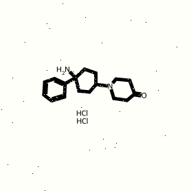 Cl.Cl.NC1(c2ccccc2)CCC(N2CCC(=O)CC2)CC1